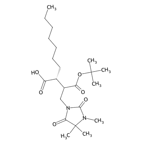 CCCCCCC[C@@H](C(=O)O)C(CN1C(=O)N(C)C(C)(C)C1=O)C(=O)OC(C)(C)C